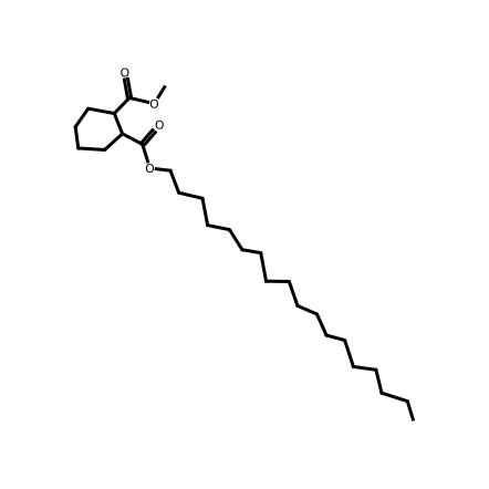 CCCCCCCCCCCCCCCCCCOC(=O)C1CCCCC1C(=O)OC